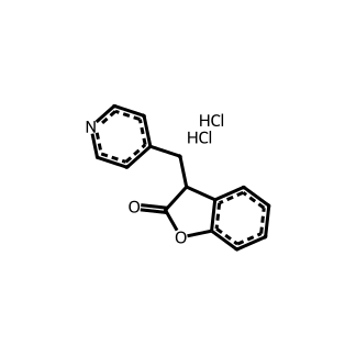 Cl.Cl.O=C1Oc2ccccc2C1Cc1ccncc1